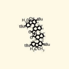 CC(C)(C)c1ccc2c(c1)C(C)(C)c1cc(C(C)(C)C)cc(-c3cc4c(=O)n5c(=O)c6cc(-c7cc(C(C)(C)C)cc8c7-c7ccc(C(C)(C)C)cc7C8(C)C)c7ccccc7c6n5c4c4ccccc34)c1-2